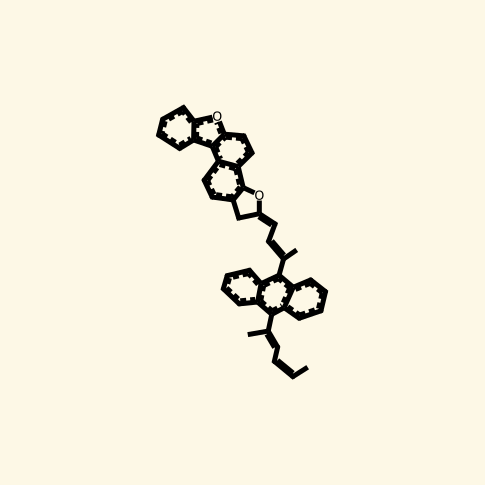 C/C=C\C=C(/C)c1c2ccccc2c(/C(C)=C/C=C2\Cc3ccc4c(ccc5oc6ccccc6c54)c3O2)c2ccccc12